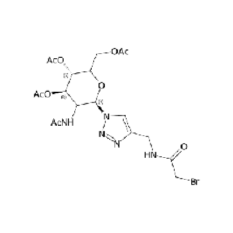 CC(=O)NC1[C@@H](OC(C)=O)[C@H](OC(C)=O)C(COC(C)=O)O[C@H]1n1cc(CNC(=O)CBr)nn1